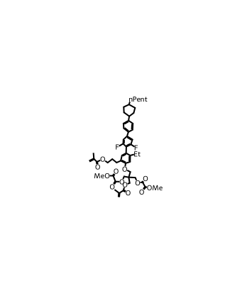 C=C(C)C(=O)OCCCc1cc(-c2c(F)cc(-c3ccc(C4CCC(CCCCC)CC4)cc3)cc2F)c(CC)cc1OCC(COC(=O)C(=C)C)(COC(=O)C(=O)OC)COC(=O)C(=O)OC